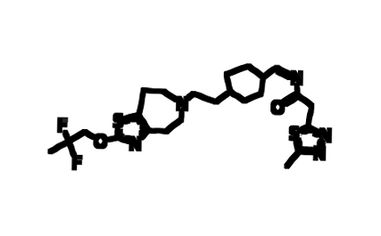 Cc1nnc(CC(=O)/N=C\C2CCC(CCN3CCc4nc(OCC(C)(F)F)sc4CC3)CC2)s1